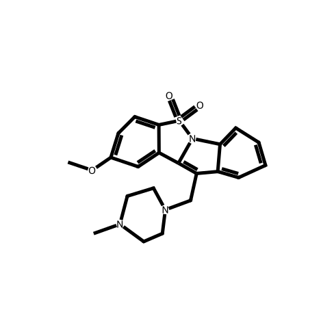 COc1ccc2c(c1)-c1c(CN3CCN(C)CC3)c3ccccc3n1S2(=O)=O